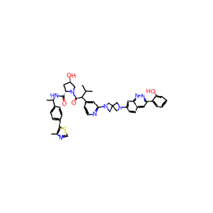 Cc1ncsc1-c1ccc(C(C)NC(=O)[C@@H]2C[C@@H](O)CN2C(=O)C(c2ccnc(N3CC4(CN(c5ccc6cc(-c7ccccc7O)nnc6c5)C4)C3)c2)C(C)C)cc1